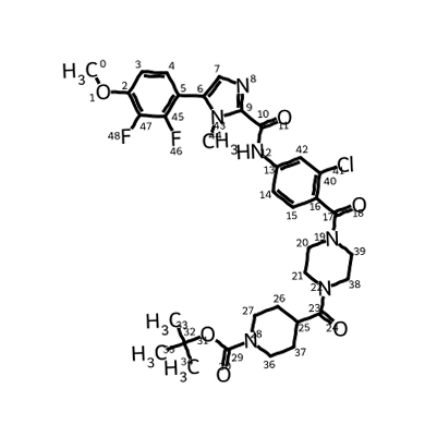 COc1ccc(-c2cnc(C(=O)Nc3ccc(C(=O)N4CCN(C(=O)C5CCN(C(=O)OC(C)(C)C)CC5)CC4)c(Cl)c3)n2C)c(F)c1F